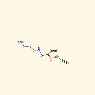 C#Cc1ccc(CNCCCN)o1